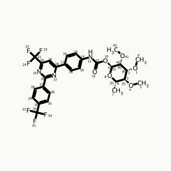 CO[C@@H]1[C@@H](OC)[C@H](C)O[C@@H](OC(=O)Nc2ccc(-c3cc(C(F)(F)F)nc(-c4ccc(C(F)(F)F)cc4)n3)cc2)[C@@H]1OC